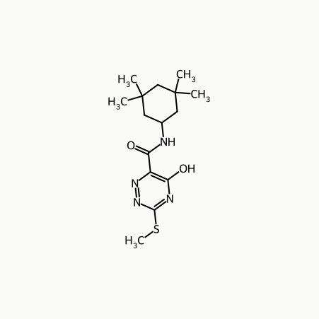 CSc1nnc(C(=O)NC2CC(C)(C)CC(C)(C)C2)c(O)n1